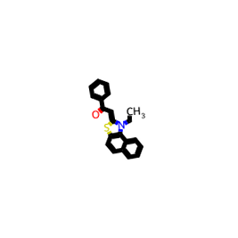 CCN1C(=CC(=O)c2ccccc2)Sc2ccc3ccccc3c21